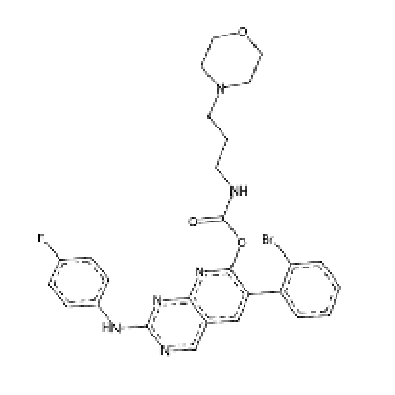 O=C(NCCCN1CCOCC1)Oc1nc2nc(Nc3ccc(F)cc3)ncc2cc1-c1ccccc1Br